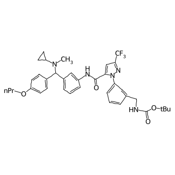 CCCOc1ccc(C(c2cccc(NC(=O)c3cc(C(F)(F)F)nn3-c3cccc(CNC(=O)OC(C)(C)C)c3)c2)N(C)C2CC2)cc1